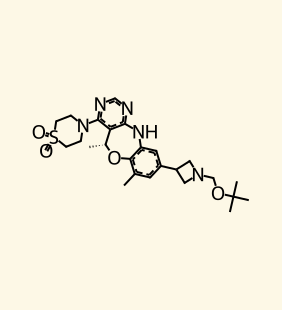 Cc1cc(C2CN(COC(C)(C)C)C2)cc2c1O[C@H](C)c1c(ncnc1N1CCS(=O)(=O)CC1)N2